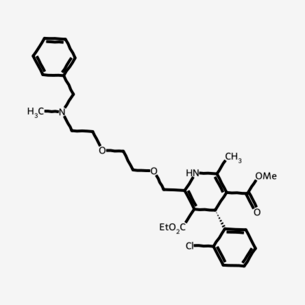 CCOC(=O)C1=C(COCCOCCN(C)Cc2ccccc2)NC(C)=C(C(=O)OC)[C@@H]1c1ccccc1Cl